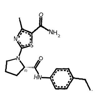 [CH2]Cc1ccc(NC(=O)[C@@H]2CCCN2c2nc(C)c(C(N)=O)s2)cc1